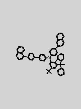 CC(C)(C)c1cc(N(c2ccc(-c3ccc(-c4cccc5ccccc45)cc3)cc2)c2ccc(-c3ccc4ccccc4c3)cc2)c2c(c1)C(C)(c1ccccc1)c1ccccc1-2